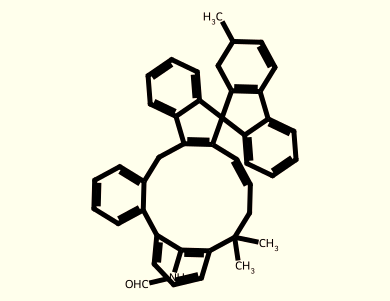 CC1C=CC2=C(C1)C1(C3=C(Cc4ccccc4-c4cccc(c4NC=O)C(C)(C)C/C=C\3)c3ccccc31)c1ccccc12